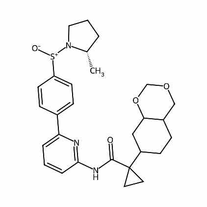 C[C@H]1CCCN1[S+]([O-])c1ccc(-c2cccc(NC(=O)C3(C4CCC5COCOC5C4)CC3)n2)cc1